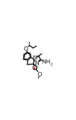 CC[C@H](C)Oc1ccc2c(c1)C1(N=C(C)C(N)=N1)C1(CCC(OC)CC1)C2